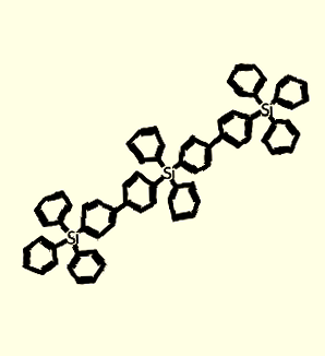 c1ccc([Si](c2ccccc2)(c2ccccc2)c2ccc(-c3ccc([Si](c4ccccc4)(c4ccccc4)c4ccc(-c5ccc([Si](c6ccccc6)(c6ccccc6)c6ccccc6)cc5)cc4)cc3)cc2)cc1